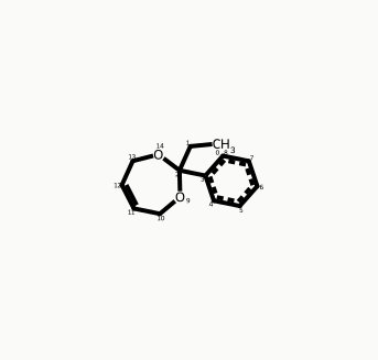 CCC1(c2ccccc2)OCC=CCO1